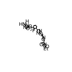 CCC(=O)OCC(CO)CON=C1CN(c2ncc(-c3cccc(COC(=O)NC(=N)N)c3F)cn2)C1